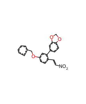 O=[N+]([O-])/C=C/c1ccc(OCc2ccccc2)cc1-c1ccc2c(c1)OCO2